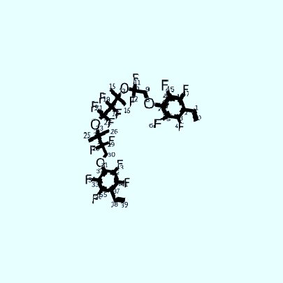 C=Cc1c(F)c(F)c(OCC(F)(F)OC(C)(C)C(F)(F)C(F)(F)OC(C)(C)C(F)(F)COc2c(F)c(F)c(C=C)c(F)c2F)c(F)c1F